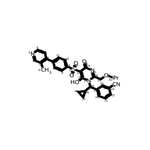 Cc1cnccc1-c1ccc(S(=O)(=O)c2c(O)n(C(c3cccc(C#N)c3)C3CC3)c(COC(C)C)nc2=O)cc1